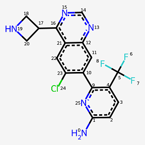 Nc1ccc(C(F)(F)F)c(-c2cc3ncnc(C4CNC4)c3cc2Cl)n1